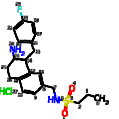 CCCS(=O)(=O)NCc1ccc2c(c1)C(Cc1ccc(F)cc1)C(N)CC2.Cl